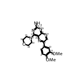 COc1ccc(-c2cnc3nc(N)nc(N4CCOCC4)c3n2)cc1OC